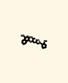 COc1ccccc1OCC(N)CC(Oc1cnc(O)c2ccccc12)C(C)O